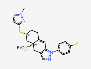 CCOC(=O)[C@]12Cc3cnn(-c4ccc(F)cc4)c3C=C1CC[C@H](Sc1ccn(C)n1)C2